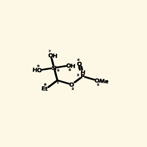 CCC(O[PH](=O)OC)[Si](O)(O)O